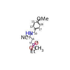 CCOP(C)(=O)CCC(C#N)NCc1ccc(OC)cc1